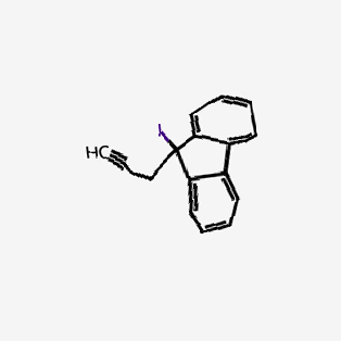 C#CCC1(I)c2ccccc2-c2ccccc21